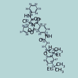 CCC(C)(C)c1ccc(OCCCC(=O)Nc2ccc3c(c2)C(=O)N(C(Cl)(C(=O)Nc2ccccc2)c2ccco2)C3=O)c(C(C)(C)CC)c1